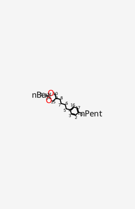 CCCCCc1ccc(CCCCC2COC(CCCC)OC2)cc1